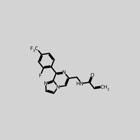 C=CC(=O)NCc1cn2ccnc2c(-c2ccc(C(F)(F)F)cc2F)n1